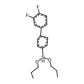 CCCO[SiH](OCCC)c1ccc(-c2ccc(F)c(F)c2)cc1